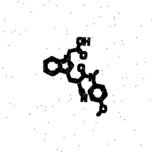 COc1ccc(N(C)C(=O)C(C#N)=Cc2cn(CC(=O)O)c3ccccc23)cc1